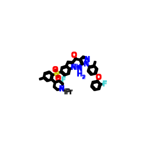 Cc1ccc(S(=O)(=O)c2cc3cc(C(=O)c4cnn(-c5ccc(Oc6ccccc6F)cc5C)c4N)[nH]c3cc2F)c(C2CCN(C(C)C)CC2)c1